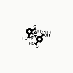 O=C(O)c1ccc(C(=O)O)cc1.O=C(O)c1cccc(C(=O)O)c1S(=O)(=O)O.[NaH]